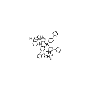 CC1(C)c2ccccc2N2c3cc4c(c5c3B(c3cccc1c32)N(c1ccc(-c2ccccc2)cc1)c1cc(-c2ccccc2)ccc1-5)C(C)(C)c1ccccc1-4